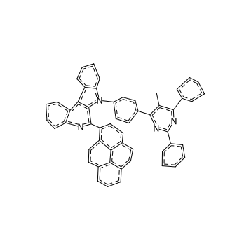 Cc1c(-c2ccccc2)nc(-c2ccccc2)nc1-c1ccc(-n2c3ccccc3c3c4ccccc4nc(-c4ccc5ccc6cccc7ccc4c5c67)c32)cc1